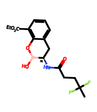 CCOC(=O)c1cccc2c1OB(O)[C@@H](NC(=O)CCC(C)(F)F)C2